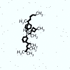 C=C/C=C\C=C(/C)C12CCC(CN(C(=C)C3(C)CC(C)C3)c3cccc(/C(C=C)=C/C(C)=C(C)C)c3)(CC1)C2